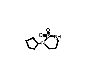 O=S1(=O)NCCCN1C1CCCC1